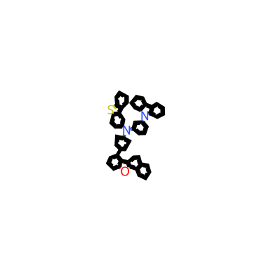 c1cc(N(c2ccc(-c3cccc4oc5c6ccccc6ccc5c34)cc2)c2ccc3sc4ccccc4c3c2)cc(-n2c3ccccc3c3ccccc32)c1